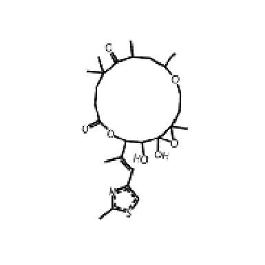 CC(=Cc1csc(C)n1)C1OC(=O)CCC(C)(C)C(=O)C(C)CC(C)OCCC2(C)OC2(O)C1O